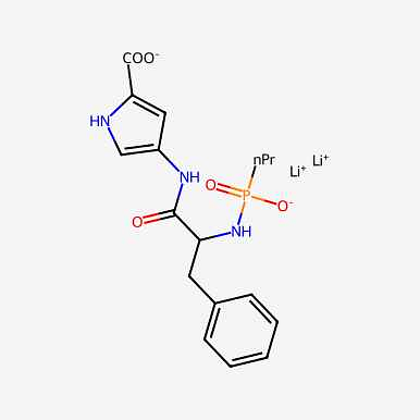 CCCP(=O)([O-])NC(Cc1ccccc1)C(=O)Nc1c[nH]c(C(=O)[O-])c1.[Li+].[Li+]